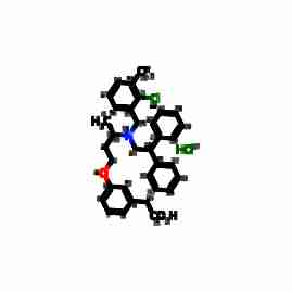 C[C@H](CCOc1cccc(CC(=O)O)c1)N(Cc1cccc(C(F)(F)F)c1Cl)CC(c1ccccc1)c1ccccc1.Cl